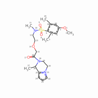 COc1cc(C)c(S(=O)(=O)N(C)CCOCC(=O)N2CCn3cccc3C2C)c(C)c1